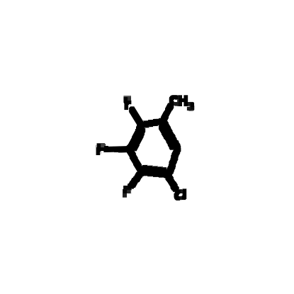 Cc1cc(Cl)c(F)c(F)c1F